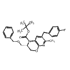 Cc1nc2c(cc1Cc1ccc(F)cc1)N(C(=O)OC(C)(C)C)[C@@H](COCc1ccccc1)CO2